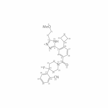 COCCc1nnc(-c2cc(C(=O)N3CCC(F)(c4ccccc4C#N)CC3)ccc2C2CCC2)[nH]1